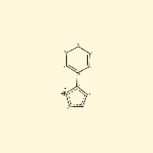 C1=CC(c2ccc[nH]2)=CCC1